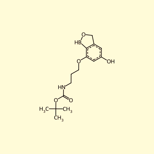 CC(C)(C)OC(=O)NCCCOc1cc(O)cc2c1BOC2